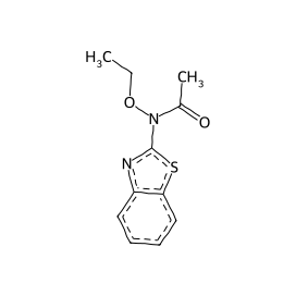 CCON(C(C)=O)c1nc2ccccc2s1